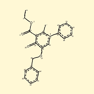 CCOC(=O)c1c(C)n(-c2ccccc2)cc(OCc2ccccc2)c1=O